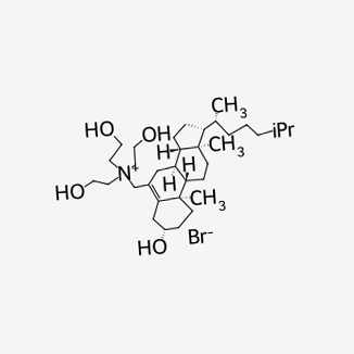 CC(C)CCC[C@@H](C)[C@H]1CC[C@H]2[C@@H]3CC(C[N+](CCO)(CCO)CCO)=C4C[C@@H](O)CC[C@]4(C)[C@H]3CC[C@]12C.[Br-]